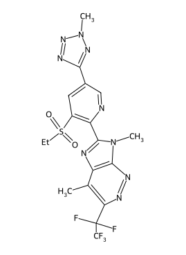 CCS(=O)(=O)c1cc(-c2nnn(C)n2)cnc1-c1nc2c(C)c(C(F)(F)C(F)(F)F)nnc2n1C